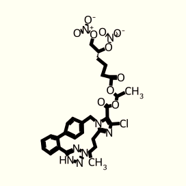 CCCCc1nc(Cl)c(C(=O)OC(C)OC(=O)CCC[C@H](CO[N+](=O)[O-])O[N+](=O)[O-])n1Cc1ccc(-c2ccccc2-c2nnn[nH]2)cc1